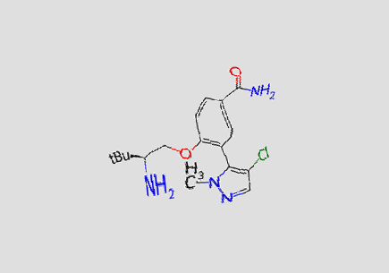 Cn1ncc(Cl)c1-c1cc(C(N)=O)ccc1OC[C@@H](N)C(C)(C)C